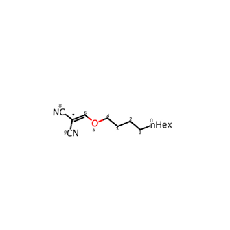 CCCCCCCCCCOC=C(C#N)C#N